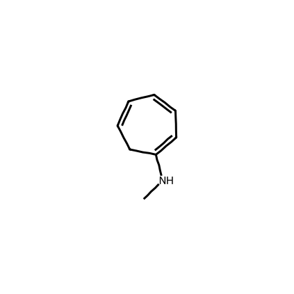 CNC1=CC=CC=CC1